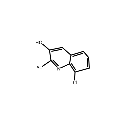 CC(=O)c1nc2c(Cl)cccc2cc1O